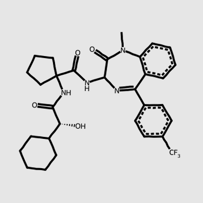 CN1C(=O)C(NC(=O)C2(NC(=O)[C@H](O)C3CCCCC3)CCCC2)N=C(c2ccc(C(F)(F)F)cc2)c2ccccc21